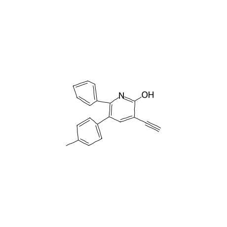 C#Cc1cc(-c2ccc(C)cc2)c(-c2ccccc2)nc1O